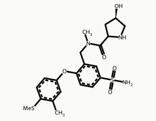 CSc1ccc(Oc2ccc(S(N)(=O)=O)cc2CN(C)C(=O)C2C[C@@H](O)CN2)cc1C